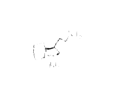 Cl.Cl.NCCc1cnn2c1NCCC2